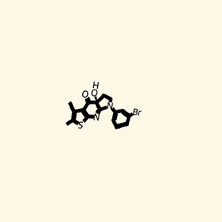 Cc1sc2c(c1C)C(=O)[C@]1(O)CCN(c3cccc(Br)c3)C1=N2